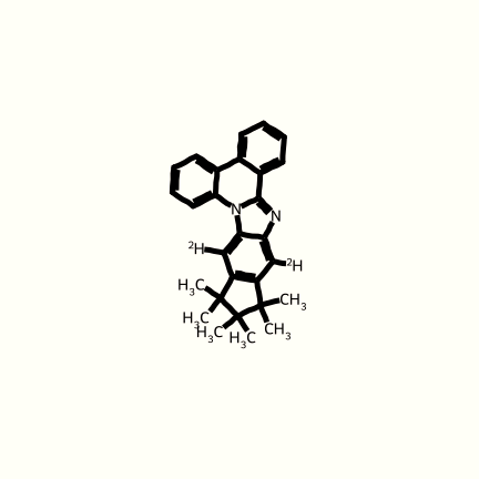 [2H]c1c2c(c([2H])c3c1nc1c4ccccc4c4ccccc4n13)C(C)(C)C(C)(C)C2(C)C